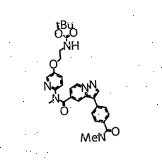 CNC(=O)c1ccc(-c2cnn3ccc(C(=O)N(C)c4ccc(OCCNC(=O)OC(C)(C)C)cn4)cc23)cc1